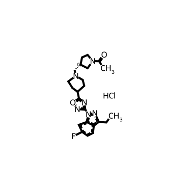 CCc1nn(-c2noc(C3CCN(C[C@@H]4CCN(C(C)=O)C4)CC3)n2)c2cc(F)ccc12.Cl